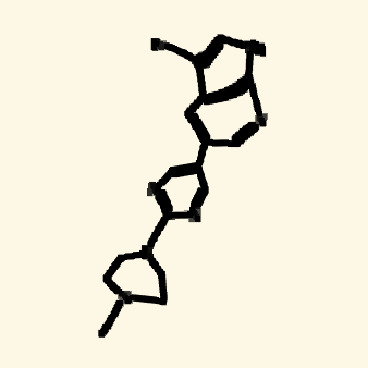 CN1CCN(c2ncc(-c3cnc4[nH]cc(Br)c4c3)cn2)CC1